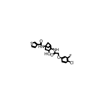 O=C(COc1ccc(Cl)c(F)c1)NC1=C2CC(NC(=O)c3ccsc3)(C2)CC1O